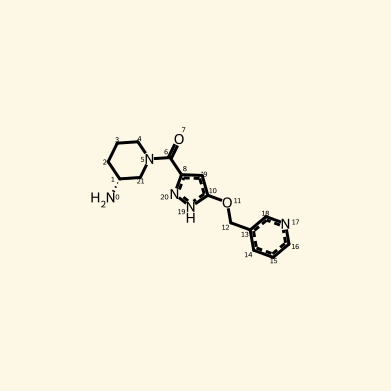 N[C@@H]1CCCN(C(=O)c2[c]c(OCc3cccnc3)[nH]n2)C1